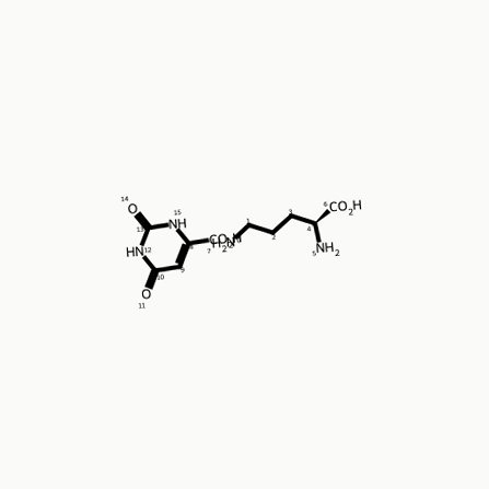 NCCC[C@H](N)C(=O)O.O=C(O)c1cc(=O)[nH]c(=O)[nH]1